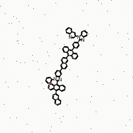 c1ccc(-n2c(-c3c4ccccc4c(-c4ccc5ccccc5c4)c4ccccc34)nc3cc(-c4ccc5cc(-c6c7ccccc7c(-c7ccc(-c8nc9ccccc9n8-c8cnc9ccccc9c8)cc7)c7ccccc67)ccc5c4)ccc32)cc1